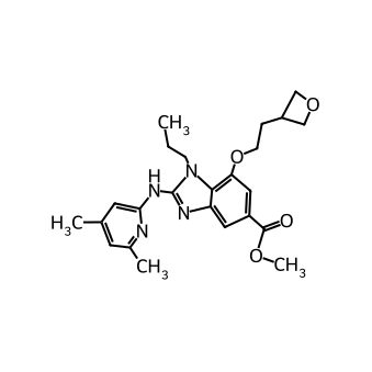 CCCn1c(Nc2cc(C)cc(C)n2)nc2cc(C(=O)OC)cc(OCCC3COC3)c21